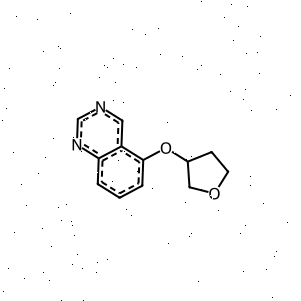 c1cc(OC2CCOC2)c2cncnc2c1